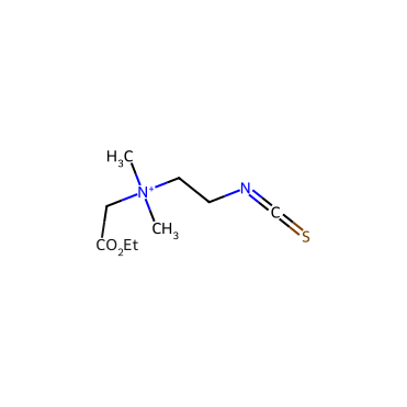 CCOC(=O)C[N+](C)(C)CCN=C=S